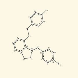 Cc1ccc(CCc2cccc3c2N(Cc2ccc(F)cc2)CC3)cc1